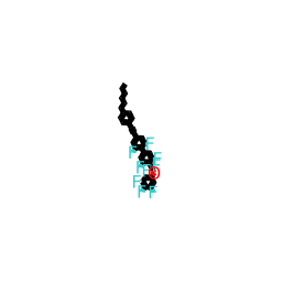 CCCCCCc1ccc(C#Cc2cc(F)c(-c3cc(F)c(C(F)(F)Oc4cc(F)c(F)c(F)c4)c(F)c3)c(F)c2)cc1